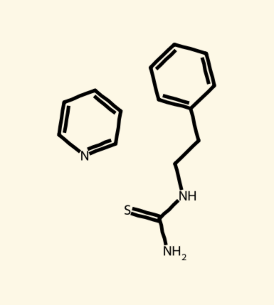 NC(=S)NCCc1ccccc1.c1ccncc1